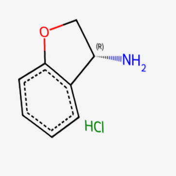 Cl.N[C@H]1COc2ccccc21